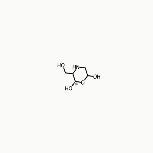 OCC1NCC(O)O[C@H]1O